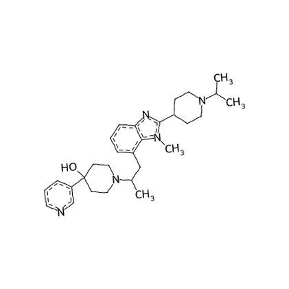 CC(C)N1CCC(c2nc3cccc(CC(C)N4CCC(O)(c5cccnc5)CC4)c3n2C)CC1